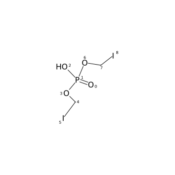 O=P(O)(OCI)OCI